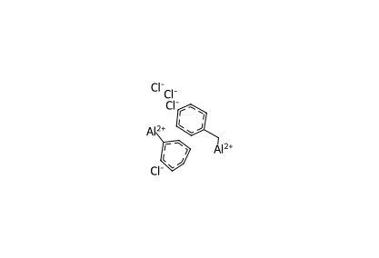 [Al+2][CH2]c1ccccc1.[Al+2][c]1ccccc1.[Cl-].[Cl-].[Cl-].[Cl-]